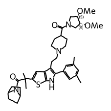 CO[C@H]1CN(C(=O)C2CCN(CCc3c(-c4cc(C)cc(C)c4)[nH]c4sc(C(C)(C)C(=O)N5C6CCC5CC6)cc34)CC2)C[C@H]1OC